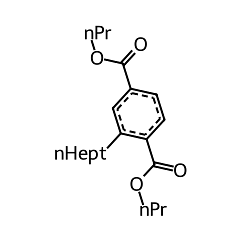 CCCCCCCc1cc(C(=O)OCCC)ccc1C(=O)OCCC